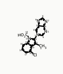 Cc1c(-n2cnc3ncnc-3c2)n(C(=O)O)c2cccc(Cl)c12